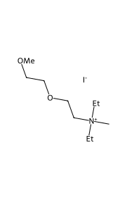 CC[N+](C)(CC)CCOCCOC.[I-]